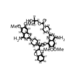 COc1cc2c(N)nc(N3CCN(C(=O)OCC(C)(C)O)CC3)nc2c(OC)c1OC.COc1cc2nc(N3CCN(C(=O)C4COc5ccccc5O4)CC3)nc(N)c2cc1OC